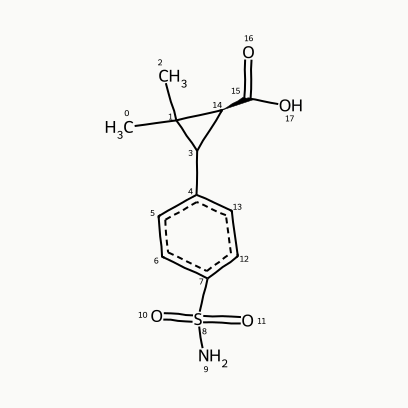 CC1(C)C(c2ccc(S(N)(=O)=O)cc2)[C@@H]1C(=O)O